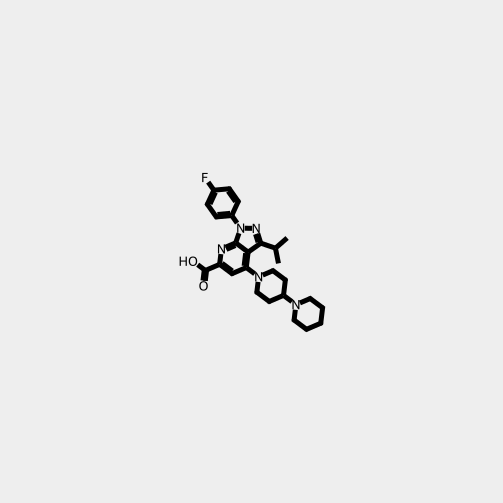 CC(C)c1nn(-c2ccc(F)cc2)c2nc(C(=O)O)cc(N3CCC(N4CCCCC4)CC3)c12